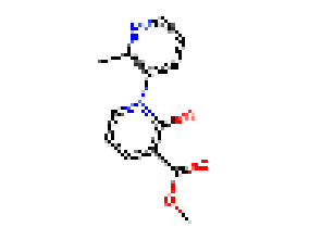 COC(=O)c1cccn(-c2cccnc2C)c1=O